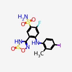 Cc1cc(I)ccc1Nc1cc(F)c(S(N)(=O)=O)cc1C1=NOS(=O)N1